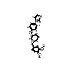 COc1ccc(CN2CCCC(Oc3ccc(-n4ccnc4)cc3)C2)cc1OC